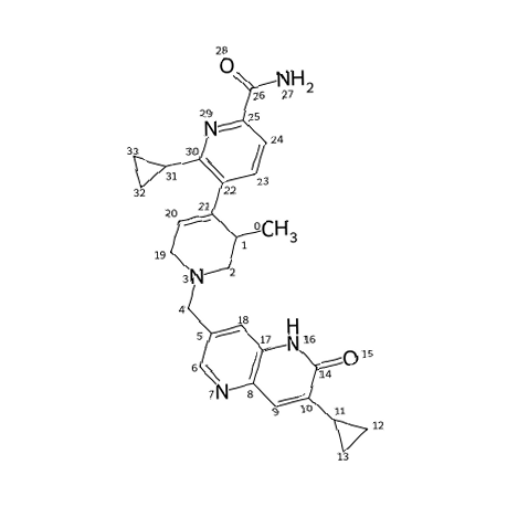 CC1CN(Cc2cnc3cc(C4CC4)c(=O)[nH]c3c2)CC=C1c1ccc(C(N)=O)nc1C1CC1